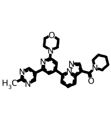 Cc1ncc(-c2cc(-c3cccc4c(C(=O)N5CCCCC5)cnn34)cc(N3CCOCC3)n2)cn1